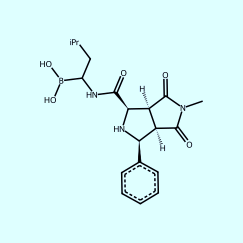 CC(C)CC(NC(=O)[C@@H]1N[C@H](c2ccccc2)[C@@H]2C(=O)N(C)C(=O)[C@@H]21)B(O)O